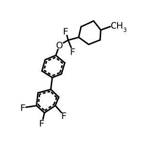 CC1CCC(C(F)(F)Oc2ccc(-c3cc(F)c(F)c(F)c3)cc2)CC1